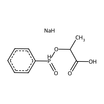 CC(O[PH](=O)c1ccccc1)C(=O)O.[NaH]